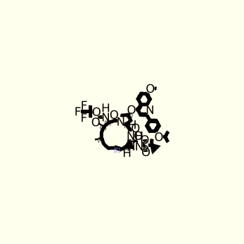 COc1ccc2c(O[C@@H]3C[C@H]4C(=O)N[C@]5(C(=O)NS(=O)(=O)C6(C)CC6)C[C@H]5/C=C/CC[C@@H](C)C[C@@H](C)[C@H](NC(=O)OC(C)(C)C(F)(F)F)C(=O)N4C3)cc(-c3ccc(OC(C)C)cc3)nc2c1